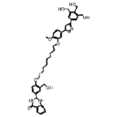 COc1ccc(C2CC(c3cc(CO)c(CO)c(CO)c3)=NO2)cc1OCCCCCCCCCCOc1ccc(C2NC(=O)c3ccccc3N2)cc1CO